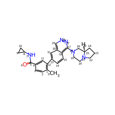 Cc1ccc(C(=O)NC2CC2)cc1-c1ccc2c(N3CCN4CCC[C@H]4C3)nncc2c1